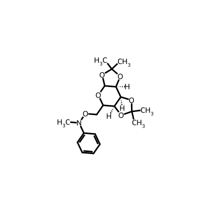 CN(OCC1OC2OC(C)(C)O[C@H]2[C@H]2OC(C)(C)O[C@@H]12)c1ccccc1